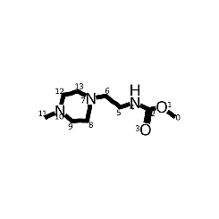 COC(=O)NCCN1CCN(C)CC1